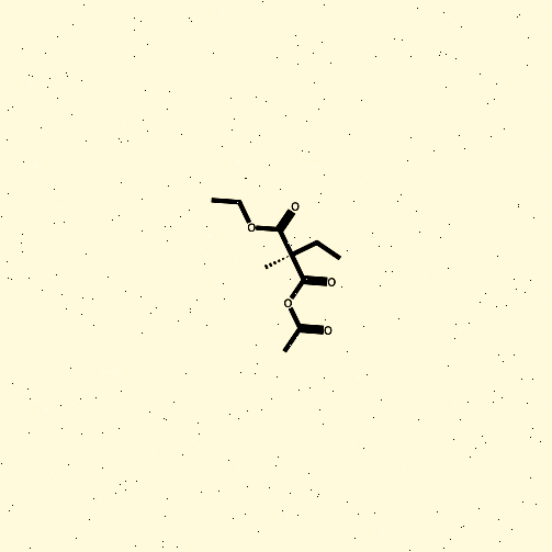 CCOC(=O)[C@@](C)(CC)C(=O)OC(C)=O